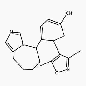 Cc1noc(C)c1C1CC(C#N)=CC=C1C1CCCCc2cncn21